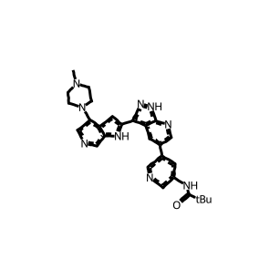 CN1CCN(c2cncc3[nH]c(-c4n[nH]c5ncc(-c6cncc(NC(=O)C(C)(C)C)c6)cc45)cc23)CC1